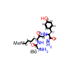 CC[C@H](C)[C@H](N)C(=O)N[C@@H](CCCCNC)C(=O)CN[C@@H](Cc1ccc(O)cc1)C(N)=O